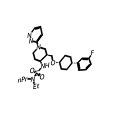 CCCN(CC)S(=O)(=O)N[C@H]1CCN(c2cccnn2)C[C@H]1CO[C@H]1CC[C@@H](c2cccc(F)c2)CC1